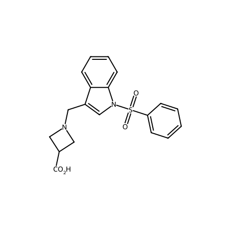 O=C(O)C1CN(Cc2cn(S(=O)(=O)c3ccccc3)c3ccccc23)C1